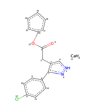 O=C(Cc1c[nH]nc1-c1ccc(Cl)cc1)Oc1ccccc1.[CaH2]